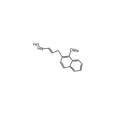 COc1c(CC=CNO)ccc2ccccc12